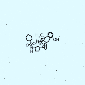 CC1(C)[C@H]2Cc3c(O)cccc3[C@]1(C)CCN2C(=O)[C@@H]1CCC(NS(=O)(=O)C2CCCCC2)C1